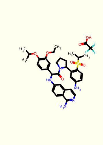 CCOc1cc(C(Nc2ccc3c(N)nccc3c2)C(=O)N2CCCC2c2cc(N)ccc2S(=O)(=O)C(C)C)ccc1OC(C)C.O=C(O)C(F)(F)F